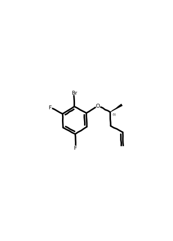 C=CC[C@H](C)Oc1cc(F)cc(F)c1Br